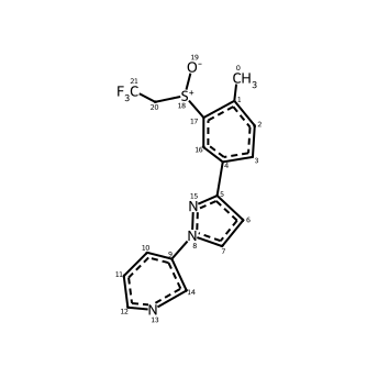 Cc1ccc(-c2ccn(-c3cccnc3)n2)cc1[S+]([O-])CC(F)(F)F